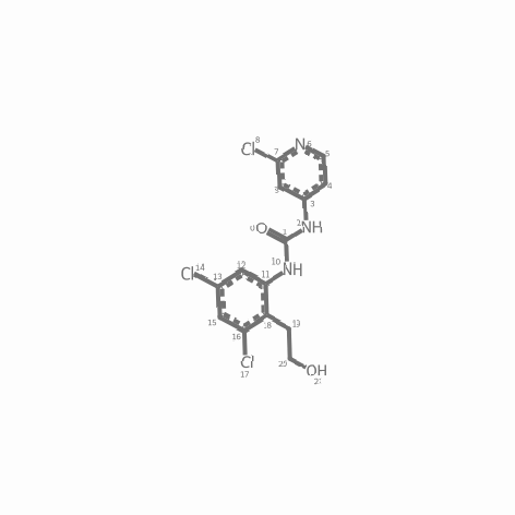 O=C(Nc1ccnc(Cl)c1)Nc1cc(Cl)cc(Cl)c1CCO